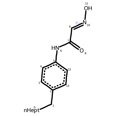 CCCCCCCCc1ccc(NC(=O)/C=N/O)cc1